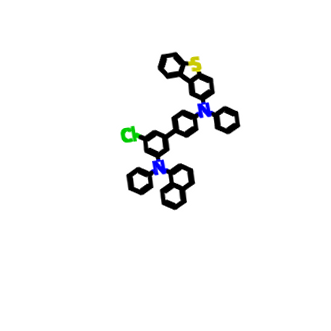 Clc1cc(-c2ccc(N(c3ccccc3)c3ccc4sc5ccccc5c4c3)cc2)cc(N(c2ccccc2)c2cccc3ccccc23)c1